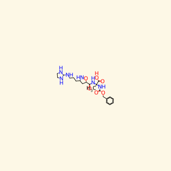 CC(NC(=O)OCc1ccccc1)(NC(=O)C1CC(CCCNC2NCCN2)NO1)C(=O)O